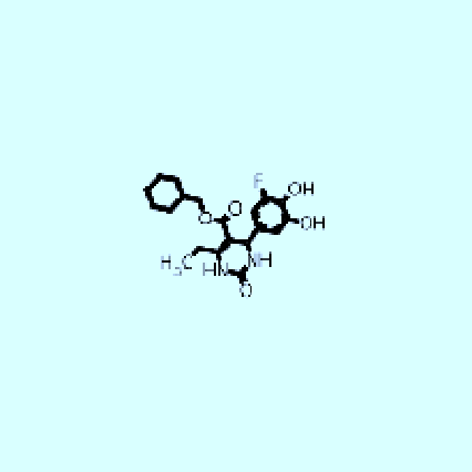 CCC1=C(C(=O)OCC2CCCCC2)C(c2cc(O)c(O)c(F)c2)NC(=O)N1